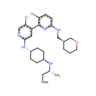 COC[C@@H](C)N[C@H]1CC[C@H](Nc2cc(-c3nc(NC[C@@H]4CCCOC4)ccc3Cl)c(Cl)cn2)CC1